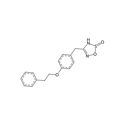 O=S1NC(Cc2ccc(OCCc3ccccc3)cc2)=NO1